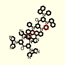 O=C(c1cc(N(c2ccccc2)c2cccc3ccccc23)cc(N(c2ccccc2)c2cccc3ccccc23)c1)c1cc(N(c2ccccc2)c2cccc3ccccc23)cc(N(c2ccccc2)c2cccc3c(-c4nccc5c4c4cnccc4n5-c4cc(C(=O)c5cc(-n6c7ccncc7c7cnccc76)cc(-n6c7ccncc7c7cnccc76)c5)cc(-n5c6ccncc6c6cnccc65)c4)cccc23)c1